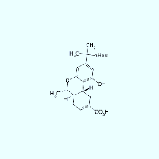 CCCCCCC(C)(C)c1cc(O)c2c(c1)O[C@@H](C)[C@@H]1CC=C(C(=O)O)C[C@@H]21